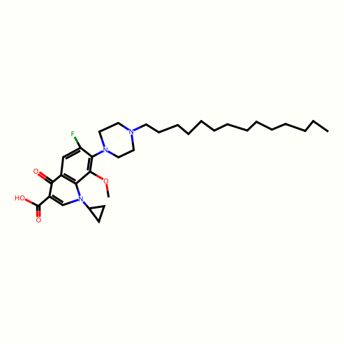 CCCCCCCCCCCCCCN1CCN(c2c(F)cc3c(=O)c(C(=O)O)cn(C4CC4)c3c2OC)CC1